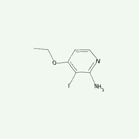 CCOc1ccnc(N)c1I